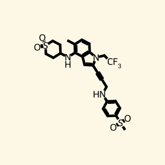 Cc1ccc2c(cc(C#CCNc3ccc(S(C)(=O)=O)cc3)n2CC(F)(F)F)c1NC1CCS(=O)(=O)CC1